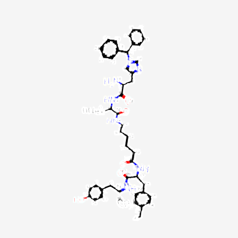 CCCCCCC(NC(=O)C(N)Cc1cn(C(c2ccccc2)c2ccccc2)cn1)C(=O)NCCCCCC(=O)NC(Cc1ccc(C)cc1)C(=O)N[C@@H](Cc1ccc(O)cc1)C(=O)O